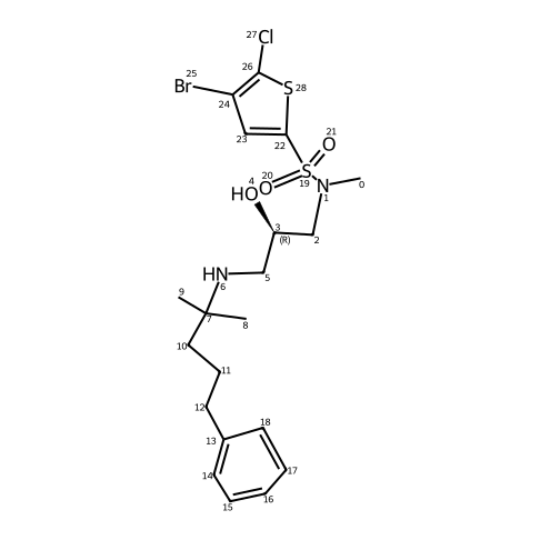 CN(C[C@H](O)CNC(C)(C)CCCc1ccccc1)S(=O)(=O)c1cc(Br)c(Cl)s1